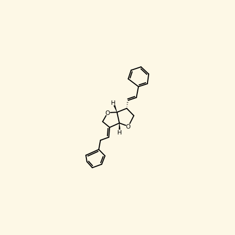 C(=C[C@@H]1CO[C@@H]2/C(=C/Cc3ccccc3)CO[C@H]12)c1ccccc1